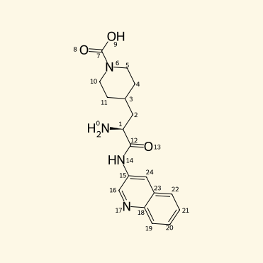 N[C@@H](CC1CCN(C(=O)O)CC1)C(=O)Nc1cnc2ccccc2c1